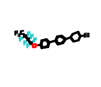 CCC1CCC(c2ccc(-c3ccc(OC(F)(F)C(F)(F)C(F)(F)C(F)(F)F)cc3)cc2)CC1